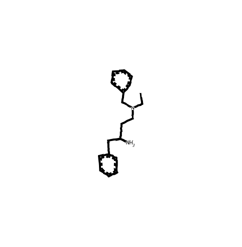 CCN(CCC(N)Cc1ccccc1)Cc1ccccc1